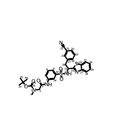 CN(CC(=O)Nc1cccc(S(=O)(=O)NC(Cc2cccc(C#N)c2)c2nc3ccccc3s2)c1)C(=O)OC(C)(C)C